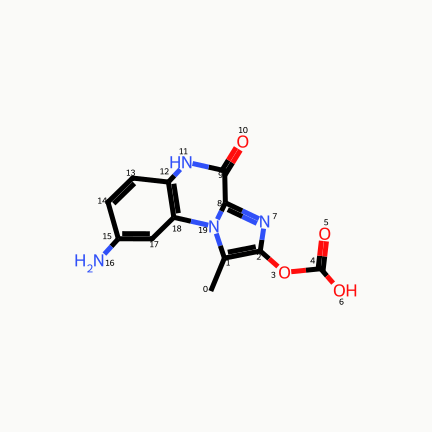 Cc1c(OC(=O)O)nc2c(=O)[nH]c3ccc(N)cc3n12